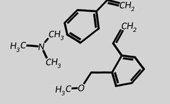 C=Cc1ccccc1.C=Cc1ccccc1COC.CN(C)C